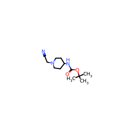 CC(C)(C)OC(=O)NC1CCN(CC#N)CC1